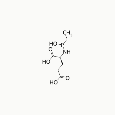 CCP(O)N[C@@H](CCC(=O)O)C(=O)O